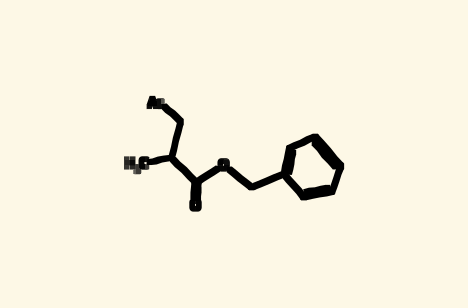 CC(=O)CC(C)C(=O)OCc1ccccc1